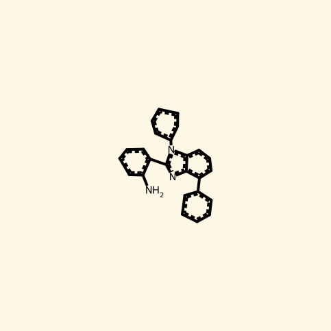 Nc1ccccc1-c1nc2c(-c3ccccc3)cccc2n1-c1ccccc1